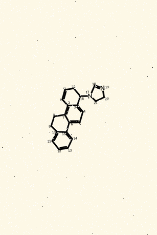 C1=Cc2c(ccc3c2CCc2ccccc2-3)C(N2C=NCC2)C1